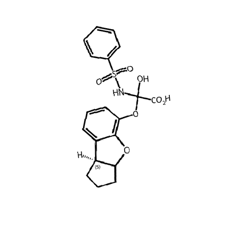 O=C(O)C(O)(NS(=O)(=O)c1ccccc1)Oc1cccc2c1OC1CCC[C@@H]21